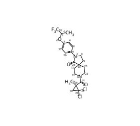 CC(Oc1ccc(N2CCC3(CCN(C(=O)C4(C)CC4(Cl)Cl)CC3)C2=O)cc1)C(F)(F)F